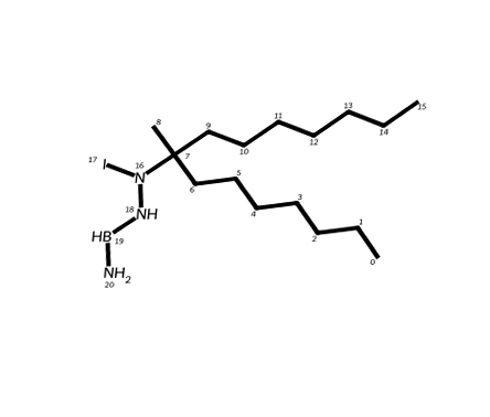 CCCCCCCC(C)(CCCCCCC)N(I)NBN